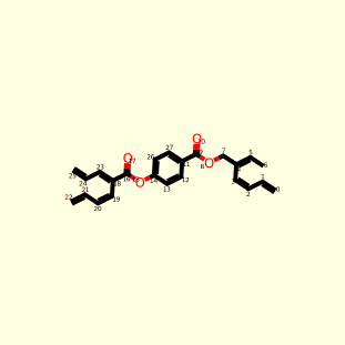 C=C/C=C\C(=C/C)COC(=O)c1ccc(OC(=O)C(/C=C\C=C)=C/C=C)cc1